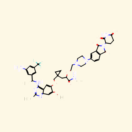 CNC(=O)C(CC1(COc2cc3c(NC(C)c4cc(N)cc(C(F)(F)F)c4)nc(C)nc3cc2OC)CC1)OCCN1CCN(c2ccc3c(c2)C(=O)N(C2CCC(=O)NC2=O)C3=O)CC1